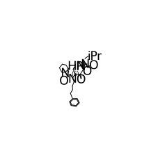 CC(C)C[C@@H](C(=O)C1NN(CC(C)C)C(=O)O1)N(CCCCc1ccccc1)C(=O)N1[CH]CCCC1